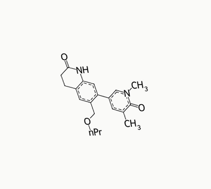 CCCOCc1cc2c(cc1-c1cc(C)c(=O)n(C)c1)NC(=O)CC2